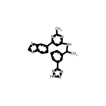 Cc1nc(NC(C)c2cccc(-c3nn[nH]n3)c2)cc(-c2ccc3ncsc3c2)n1